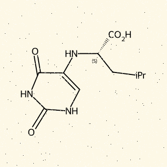 CC(C)C[C@H](Nc1c[nH]c(=O)[nH]c1=O)C(=O)O